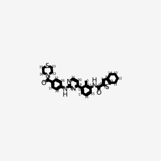 Cc1c(NC(=O)c2cc3c(s2)CCCC3)cccc1-c1ccnc(Nc2ccc(C(=O)N3CCSCC3)cc2)n1